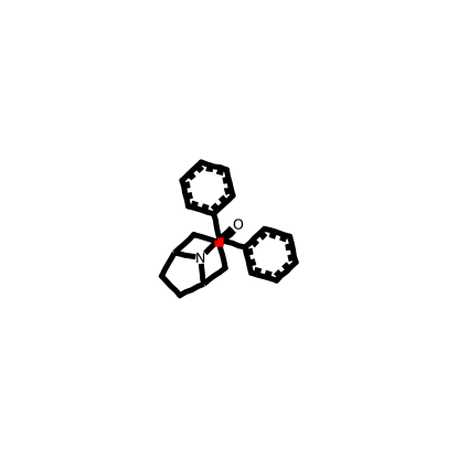 O=C1CC2CCC(C1)N2C(c1ccccc1)c1ccccc1